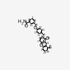 NC(=O)c1cccc(COc2ccc(Cn3ccc(=O)n(Cc4ccccc4F)c3=O)cc2)c1